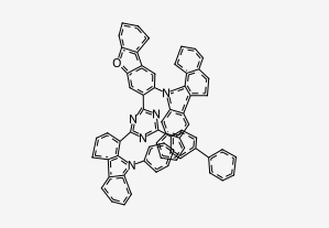 c1ccc(-c2ccc(-c3nc(-c4cc5oc6ccccc6c5cc4-n4c5cc6ccccc6cc5c5ccc6ccccc6c54)nc(-c4cccc5c6ccccc6n(-c6ccccc6)c45)n3)cc2)cc1